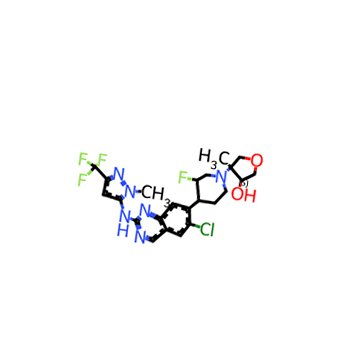 Cn1nc(C(F)(F)F)cc1Nc1ncc2cc(Cl)c(C3CCN(C4(C)COC[C@H]4O)CC3F)cc2n1